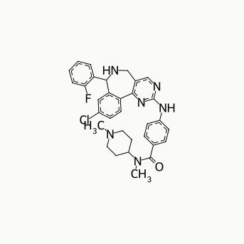 CN1CCC(N(C)C(=O)c2ccc(Nc3ncc4c(n3)-c3ccc(Cl)cc3C(c3ccccc3F)NC4)cc2)CC1